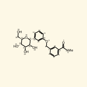 CNC(=O)c1cccc(COc2cccc([C@H]3O[C@H](CO)[C@@H](O)[C@H](O)[C@@H]3O)c2)c1